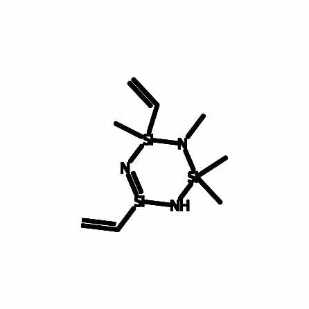 C=C[Si]1=N[Si](C)(C=C)N(C)[Si](C)(C)N1